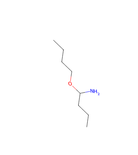 CCCCOC(N)CCC